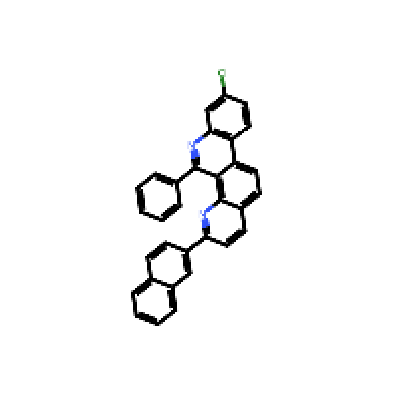 Clc1ccc2c(c1)nc(-c1ccccc1)c1c2ccc2ccc(-c3ccc4ccccc4c3)nc21